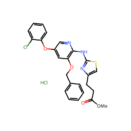 COC(=O)CCc1csc(Nc2ncc(Oc3ccccc3Cl)cc2OCc2ccccc2)n1.Cl